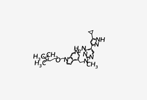 CN(Cc1cncc2c1ccn2COCC[Si](C)(C)C)c1ncc(-c2cc(C3CC3)[nH]n2)c(N)n1